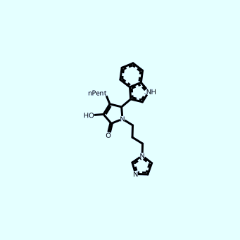 CCCCCC1=C(O)C(=O)N(CCCn2ccnc2)C1c1c[nH]c2ccccc12